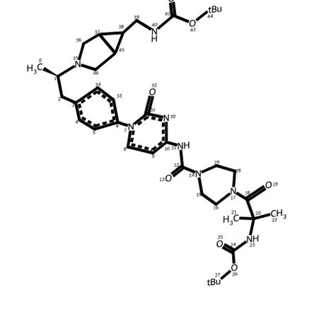 C[C@H](Cc1ccc(-n2ccc(NC(=O)N3CCN(C(=O)C(C)(C)NC(=O)OC(C)(C)C)CC3)nc2=O)cc1)N1CC2C(CNC(=O)OC(C)(C)C)C2C1